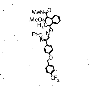 CCON=C(C=NOC(C)c1ccccc1C(=NOC)C(=O)NC)c1ccc(OCc2ccc(C(F)(F)F)cc2)cc1